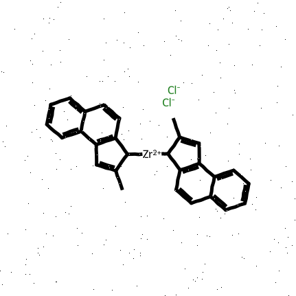 CC1=Cc2c(ccc3ccccc23)[CH]1[Zr+2][CH]1C(C)=Cc2c1ccc1ccccc21.[Cl-].[Cl-]